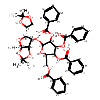 CC1(C)OCC([C@H]2O[C@@H]3OC(C)(C)OC3[C@@H]2OC2OC(COC(=O)c3ccccc3)C(OC(=O)c3ccccc3)C(OC(=O)c3ccccc3)C2OC(=O)c2ccccc2)O1